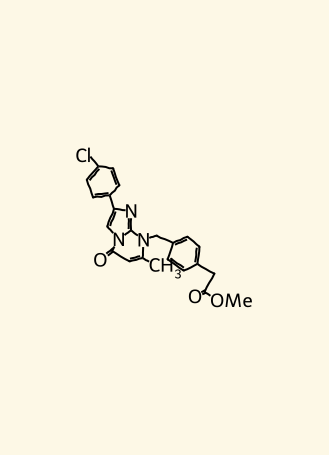 COC(=O)Cc1ccc(Cn2c(C)cc(=O)n3cc(-c4ccc(Cl)cc4)nc23)cc1